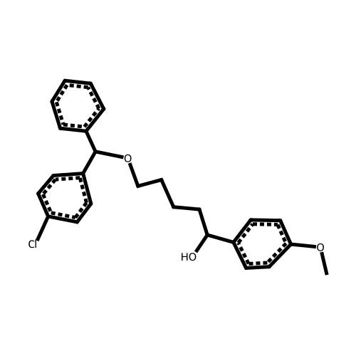 COc1ccc(C(O)CCCCOC(c2ccccc2)c2ccc(Cl)cc2)cc1